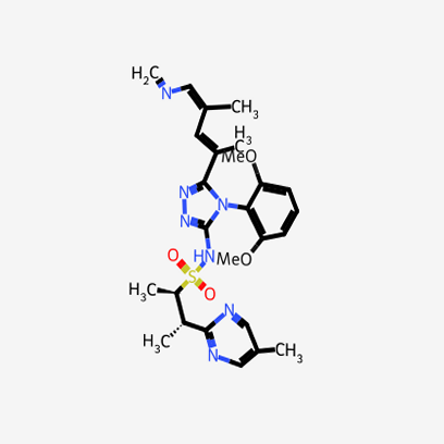 C=N/C=C(C)\C=C(/C)c1nnc(NS(=O)(=O)[C@H](C)[C@@H](C)c2ncc(C)cn2)n1-c1c(OC)cccc1OC